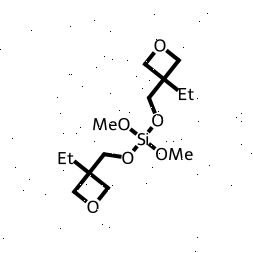 CCC1(CO[Si](OC)(OC)OCC2(CC)COC2)COC1